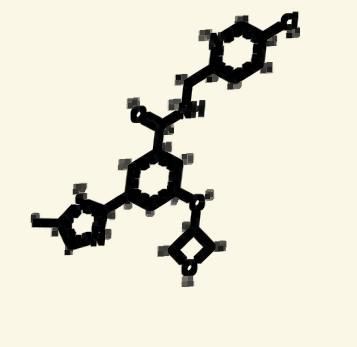 Cc1cnc(-c2cc(OC3COC3)cc(C(=O)NCc3ccc(Cl)cn3)c2)s1